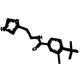 Cc1cc(C(=O)NCCc2c[nH]cn2)ccc1C(C)(C)C